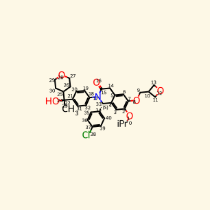 CC(C)Oc1cc2c(cc1OCC1COC1)CC(=O)N(c1ccc(C(C)(O)C3CCOCC3)cc1)[C@H]2c1ccc(Cl)cc1